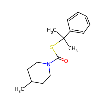 CC1CCN(C(=O)SC(C)(C)c2ccccc2)CC1